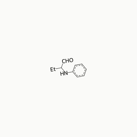 CCC(C=O)Nc1ccccc1